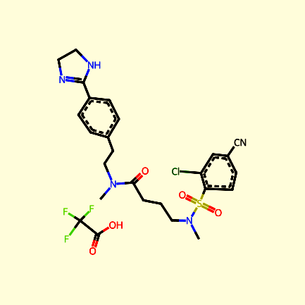 CN(CCc1ccc(C2=NCCN2)cc1)C(=O)CCCN(C)S(=O)(=O)c1ccc(C#N)cc1Cl.O=C(O)C(F)(F)F